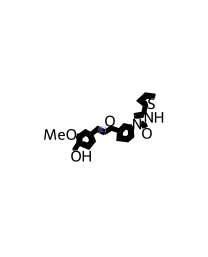 COc1cc(/C=C/C(=O)c2cccc(-n3cc(-c4cccs4)[nH]c3=O)c2)ccc1CO